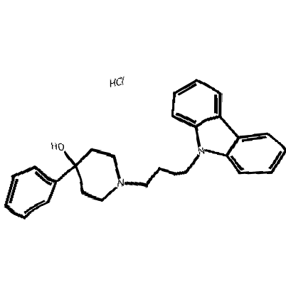 Cl.OC1(c2ccccc2)CCN(CCCn2c3ccccc3c3ccccc32)CC1